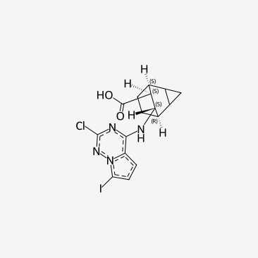 O=C(O)[C@@H]1[C@@H](Nc2nc(Cl)nn3c(I)ccc23)[C@@H]2CC[C@H]1C1CC12